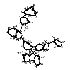 c1ccc(-c2ccc(-c3nc(-c4ccc(C5(c6ccc7nc(-c8ccccc8)oc7c6)c6ccccc6-c6ccccc65)cc4)nc4ccccc34)cc2)cc1